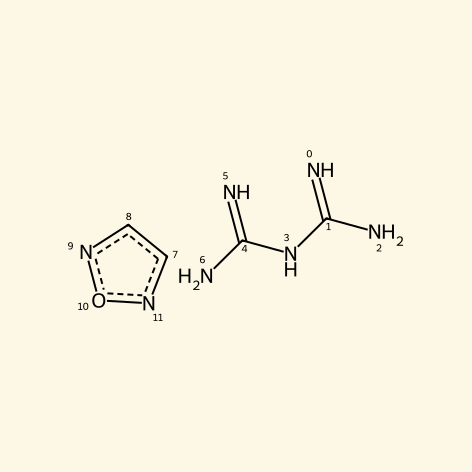 N=C(N)NC(=N)N.c1cnon1